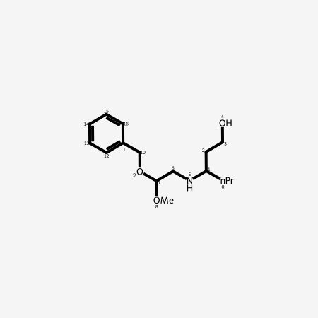 CCCC(CCO)NCC(OC)OCc1ccccc1